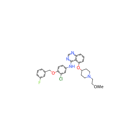 COCCN1CCC(Oc2cccc3ncnc(Nc4ccc(OCc5cccc(F)c5)c(Cl)c4)c23)CC1